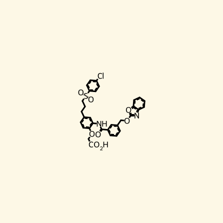 O=C(O)COc1ccc(CCCS(=O)(=O)c2ccc(Cl)cc2)cc1NC(=O)c1cccc(COc2nc3ccccc3o2)c1